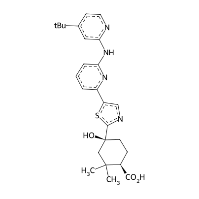 CC(C)(C)c1ccnc(Nc2cccc(-c3cnc([C@]4(O)CC[C@@H](C(=O)O)C(C)(C)C4)s3)n2)c1